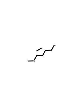 CC.CCCC[CH2][Al][CH3]